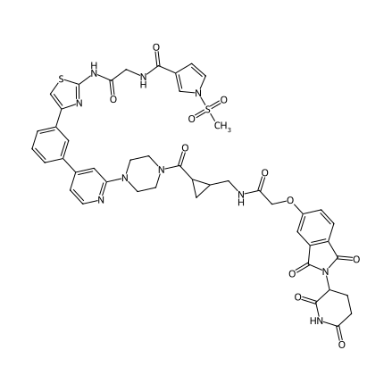 CS(=O)(=O)n1ccc(C(=O)NCC(=O)Nc2nc(-c3cccc(-c4ccnc(N5CCN(C(=O)C6CC6CNC(=O)COc6ccc7c(c6)C(=O)N(C6CCC(=O)NC6=O)C7=O)CC5)c4)c3)cs2)c1